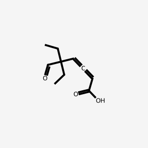 CCC(C=O)(C=C=CC(=O)O)CC